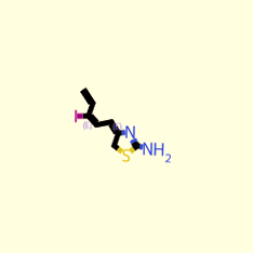 C=C/C(I)=C\C=C1/CSC(N)=N1